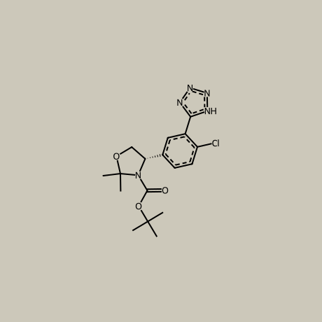 CC(C)(C)OC(=O)N1[C@@H](c2ccc(Cl)c(-c3nnn[nH]3)c2)COC1(C)C